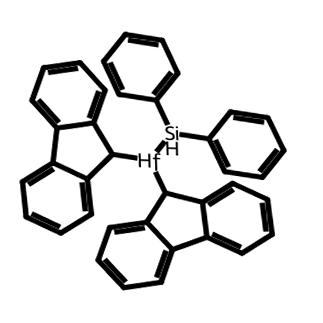 c1ccc([SiH](c2ccccc2)[Hf]([CH]2c3ccccc3-c3ccccc32)[CH]2c3ccccc3-c3ccccc32)cc1